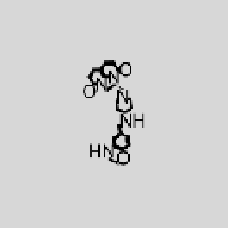 O=c1ccc2ccc(=O)n3c2n1C[C@H]3CN1CCC(NCc2ccc3c(c2)NCCO3)CC1